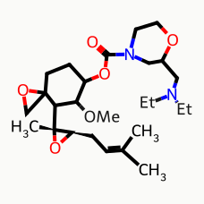 CCN(CC)CC1CN(C(=O)OC2CCC3(CO3)C([C@@]3(C)O[C@@H]3CC=C(C)C)C2OC)CCO1